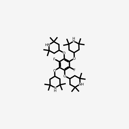 CC1(C)CC(Oc2c(F)c(OC3CC(C)(C)NC(C)(C)C3)c(OC3CC(C)(C)NC(C)(C)C3)c(F)c2OC2CC(C)(C)NC(C)(C)C2)CC(C)(C)N1